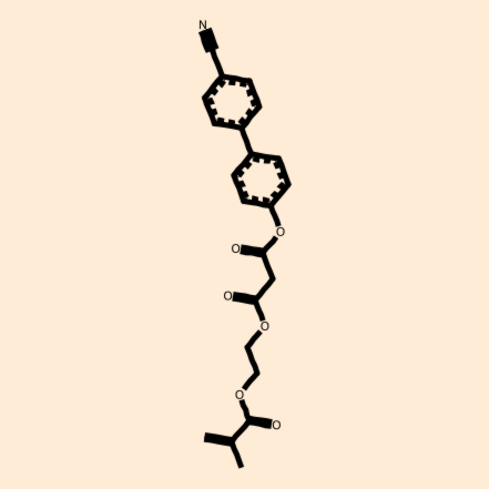 C=C(C)C(=O)OCCOC(=O)CC(=O)Oc1ccc(-c2ccc(C#N)cc2)cc1